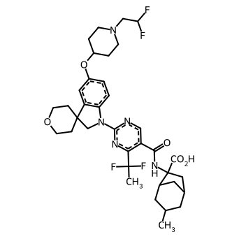 CC1CC2CC(C1)C(NC(=O)c1cnc(N3CC4(CCOCC4)c4cc(OC5CCN(CC(F)F)CC5)ccc43)nc1C(C)(F)F)(C(=O)O)C2